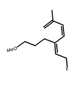 C=C(C)/C=C\C(=C/CF)CCCOC